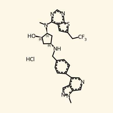 CN(c1ncnc2sc(CC(F)(F)F)cc12)[C@H]1C[C@@H](NCc2ccc(-c3cncc4c3cnn4C)cc2)C[C@H]1O.Cl